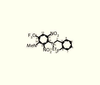 CCN(Cc1ccccc1F)c1c([N+](=O)[O-])cc(C(F)(F)F)c(NC)c1[N+](=O)[O-]